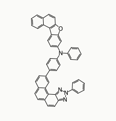 c1ccc(N(c2ccc(-c3ccc4ccc5ccc6nn(-c7ccccc7)nc6c5c4c3)cc2)c2ccc3c(c2)oc2ccc4ccccc4c23)cc1